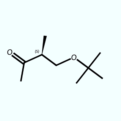 CC(=O)[C@@H](C)COC(C)(C)C